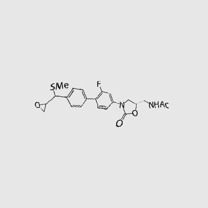 CSC(c1ccc(-c2ccc(N3C[C@H](CNC(C)=O)OC3=O)cc2F)cc1)C1CO1